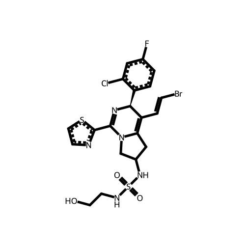 O=S(=O)(NCCO)NC1CC2=C(/C=C/Br)[C@H](c3ccc(F)cc3Cl)N=C(c3nccs3)N2C1